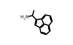 CC(N)C1=Cc2cccc3cccc1c23